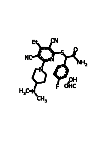 CCc1c(C#N)c(SC(C(N)=O)c2ccc(F)cc2)nc(N2CCC(N(C)C)CC2)c1C#N.O=CO